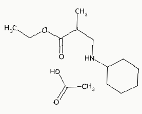 CC(=O)O.CCOC(=O)C(C)CNC1CCCCC1